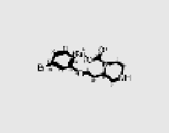 CC(C)(C)OC(=O)N1CCNCC1CCOc1cccc(Br)c1